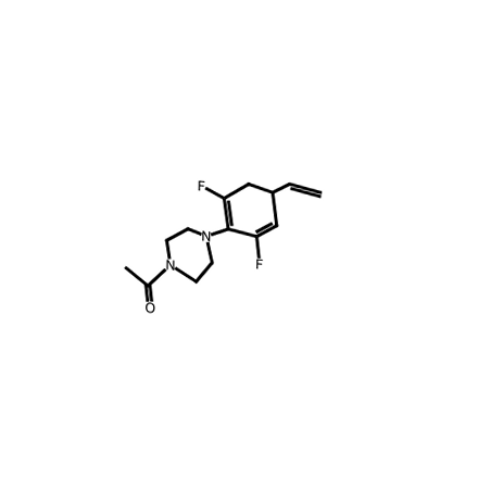 C=CC1C=C(F)C(N2CCN(C(C)=O)CC2)=C(F)C1